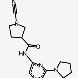 N#CN1CCC(C(=O)Nc2cccc(N3CCCC3)n2)C1